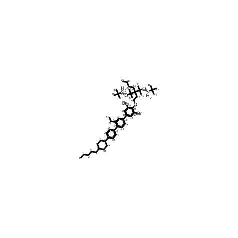 CCCCCC1CCC(c2ccc(-c3ccc(-c4cc(Br)c(OCCC(CCCC)(C(C)(C)O[SiH2]C(C)(C)C)C(C)(C)O[SiH2]C(C)(C)C)c(Br)c4)cc3CC)cc2)CC1